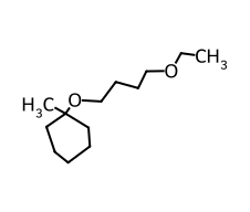 CCOCCCCOC1(C)CCCCC1